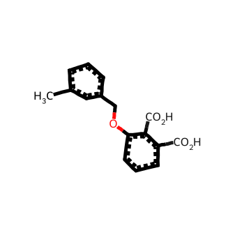 Cc1cccc(COc2cccc(C(=O)O)c2C(=O)O)c1